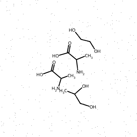 CC(N)C(=O)O.CC(N)C(=O)O.CC(O)CO.OCCO